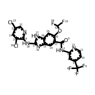 O=C(Nc1cc(C(F)(F)F)ccn1)c1cc2nc(Nc3ncc(Cl)cc3Cl)[nH]c2cc1OC(F)F